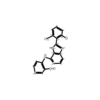 O=Cc1cnccc1Nc1nccc2nc(-c3c(Cl)cccc3Cl)[nH]c12